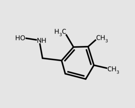 Cc1ccc(CNO)c(C)c1C